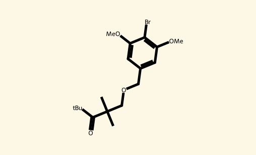 COc1cc(COCC(C)(C)C(=O)C(C)(C)C)cc(OC)c1Br